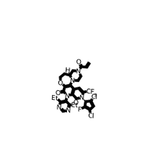 C=CC(=O)N1CCN2c3c(c(=O)n(-c4c(CC)ncnc4CC)c4c(=O)n([C@@H]5C(Cl)=CC(Cl)=C5F)c(C(F)(F)F)cc34)OCC[C@H]2C1